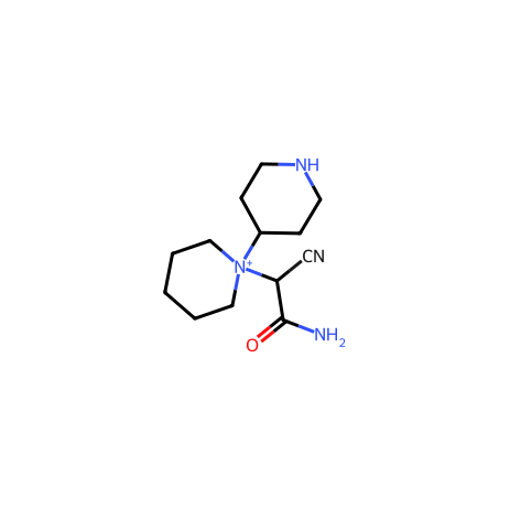 N#CC(C(N)=O)[N+]1(C2CCNCC2)CCCCC1